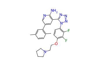 Cc1ccc(C)c(-c2cnc(N)c(-c3nnnn3-c3ccc(OCCN4CCCC4)c(F)c3F)c2)c1